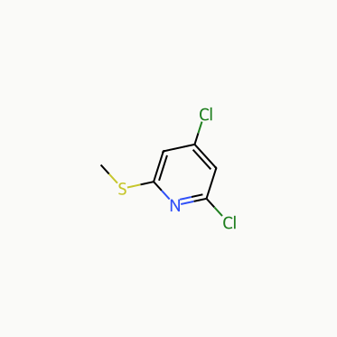 CSc1cc(Cl)cc(Cl)n1